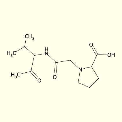 CC(=O)C(NC(=O)CN1CCCC1C(=O)O)C(C)C